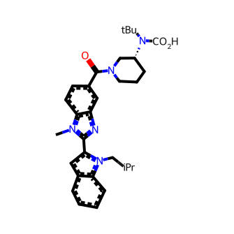 CC(C)Cn1c(-c2nc3cc(C(=O)N4CCC[C@@H](N(C(=O)O)C(C)(C)C)C4)ccc3n2C)cc2ccccc21